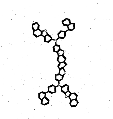 c1ccc2c(-c3ccc(N(c4ccc5c(c4)oc4cc6cc7oc8cc(N(c9ccc(-c%10cccc%11ccccc%10%11)cc9)c9ccc%10c(c9)oc9c%11ccccc%11ccc%109)ccc8c7cc6cc45)c4ccc5c(c4)oc4c6ccccc6ccc54)cc3)cccc2c1